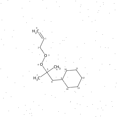 C=CCOOC(C)(C)CC1CCCCC1